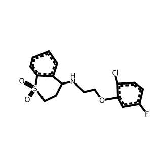 O=S1(=O)CCC(NCCOc2cc(F)ccc2Cl)c2ccccc21